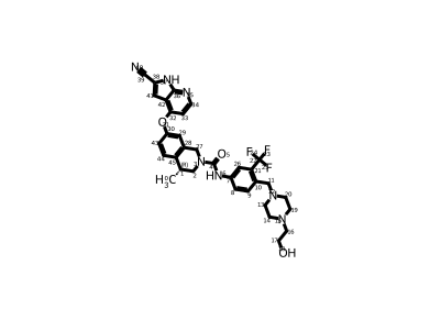 C[C@H]1CN(C(=O)Nc2ccc(CN3CCN(CCO)CC3)c(C(F)(F)F)c2)Cc2cc(Oc3ccnc4[nH]c(C#N)cc34)ccc21